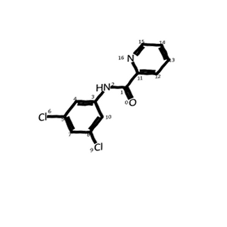 O=C(Nc1cc(Cl)cc(Cl)c1)c1ccccn1